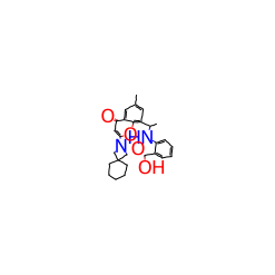 Cc1cc(C(C)Nc2ccccc2C(=O)O)c2oc(N3CC4(CCCCC4)C3)cc(=O)c2c1